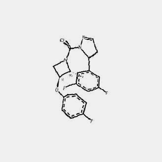 C[C@@H]1[C@@H](Oc2ccc(F)cc2)CN1C(=O)N1N=CCC1c1cc(F)cc(F)c1